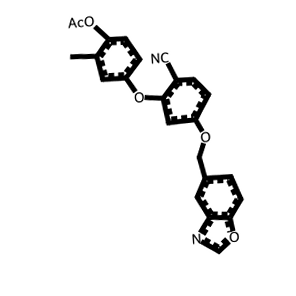 CC(=O)Oc1ccc(Oc2cc(OCc3ccc4ocnc4c3)ccc2C#N)cc1C